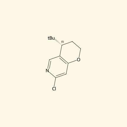 CC(C)(C)[C@@H]1CCOc2cc(Cl)ncc21